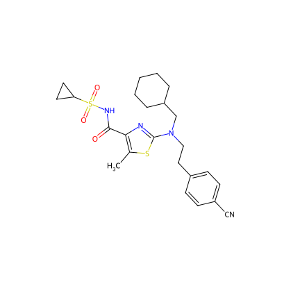 Cc1sc(N(CCc2ccc(C#N)cc2)CC2CCCCC2)nc1C(=O)NS(=O)(=O)C1CC1